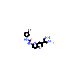 CC[C@@H]1CC[C@@H](NC(=O)Nc2ccc3ncc(/C(C=N)=C/N)cc3n2)C1